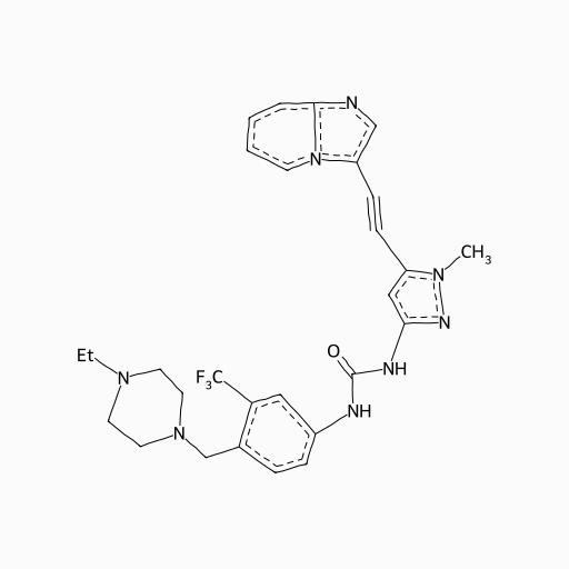 CCN1CCN(Cc2ccc(NC(=O)Nc3cc(C#Cc4cnc5ccccn45)n(C)n3)cc2C(F)(F)F)CC1